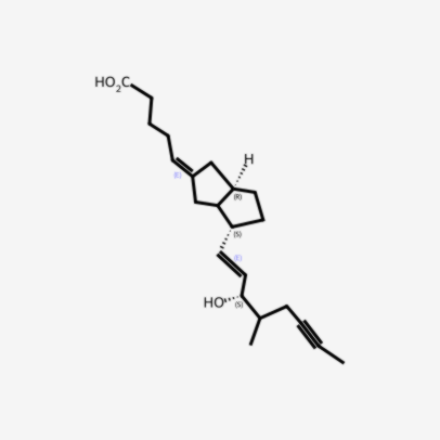 CC#CCC(C)[C@H](O)/C=C/[C@H]1CC[C@@H]2C/C(=C\CCCC(=O)O)CC21